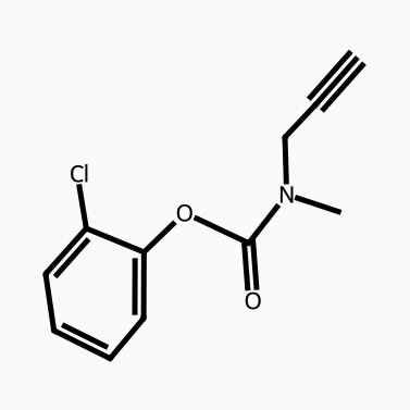 C#CCN(C)C(=O)Oc1ccccc1Cl